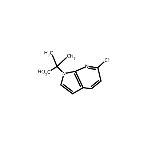 CC(C)(C(=O)O)n1ccc2ccc(Cl)nc21